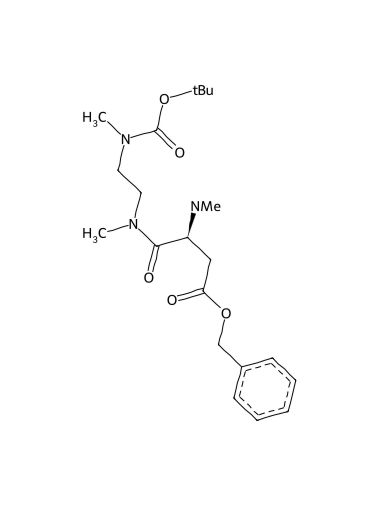 CN[C@@H](CC(=O)OCc1ccccc1)C(=O)N(C)CCN(C)C(=O)OC(C)(C)C